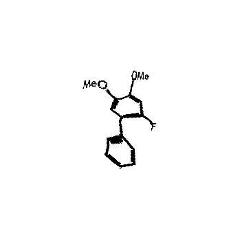 COc1cc(F)c(-c2cc[c]cc2)cc1OC